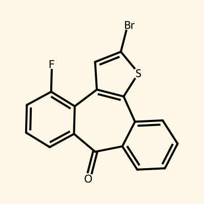 O=c1c2ccccc2c2sc(Br)cc2c2c(F)cccc12